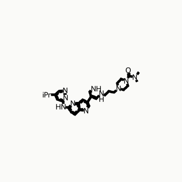 CC(C)c1cnnc(Nc2ccc3ncc(/C(C=N)=C/NCCCN4CCN(C(=O)N(C)C)CC4)cc3n2)c1